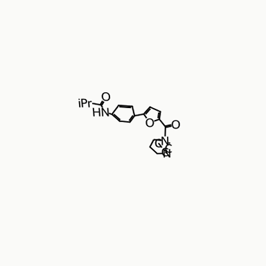 CC(C)C(=O)Nc1ccc(-c2ccc(C(=O)N3CCN4CCC3CC4)o2)cc1